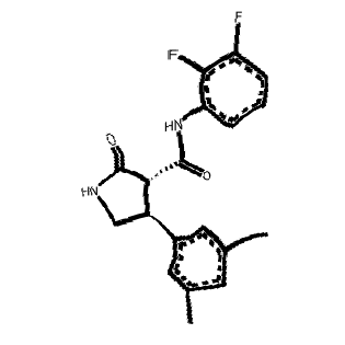 Cc1cc(C)cc([C@H]2CNC(=O)[C@@H]2C(=O)Nc2cccc(F)c2F)c1